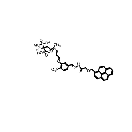 CN(CCCOc1cc(/C=N/NC(=O)COCc2ccc3ccc4cccc5ccc2c3c45)ccc1[N+](=O)[O-])CCC(O)(P(=O)(O)O)P(=O)(O)O